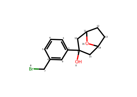 OC1(c2cccc(CBr)c2)CC2CCC(C1)O2